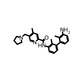 Cc1cc(C(=O)Nc2cccc(-c3cccc(N)c3C)c2C)ncc1CN1CCCC1